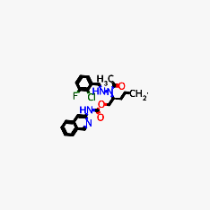 [CH2]CC[C@@H](COC(=O)Nc1cc2ccccc2cn1)N(NCc1cccc(F)c1Cl)C(C)=O